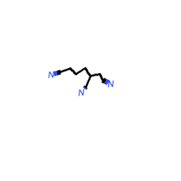 N#CCCCC(C#N)CC#N